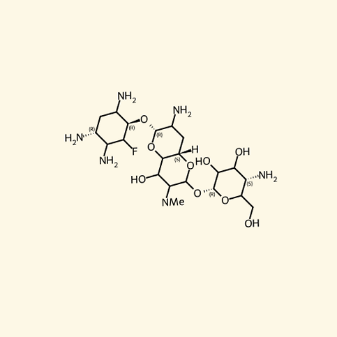 CNC1C(O[C@H]2OC(CO)[C@@H](N)C(O)C2O)O[C@H]2CC(N)[C@@H](O[C@@H]3C(N)C[C@@H](N)C(N)C3F)OC2C1O